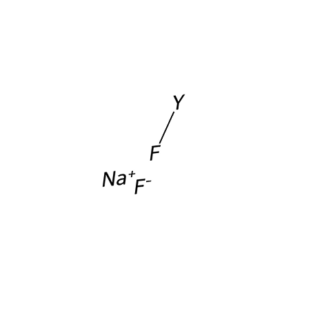 [F-].[F][Y].[Na+]